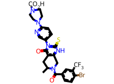 CC1Cc2c([nH]c(=S)n(-c3ccc(N4CCN(C(=O)O)CC4)nc3)c2=O)CN1C(=O)c1ccc(Br)c(C(F)(F)F)c1